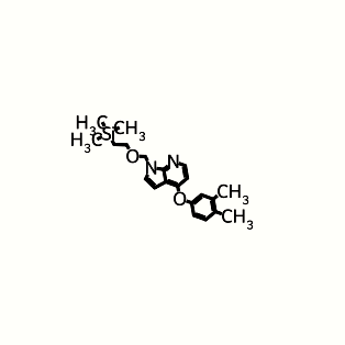 Cc1ccc(Oc2ccnc3c2ccn3COCC[Si](C)(C)C)cc1C